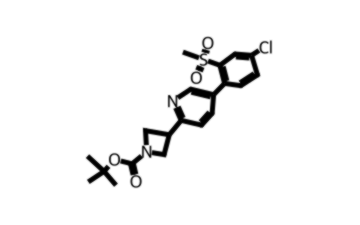 CC(C)(C)OC(=O)N1CC(c2ccc(-c3ccc(Cl)cc3S(C)(=O)=O)cn2)C1